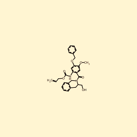 C=CCOC(=O)Nc1cc(OCc2ccccc2)c(OC)cc1C(=O)N1Cc2ccccc2CC1CO